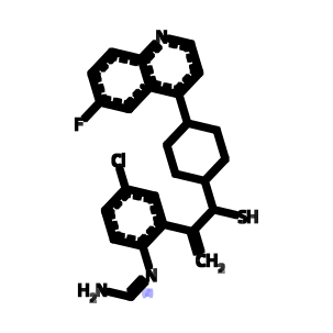 C=C(c1cc(Cl)ccc1/N=C\N)C(S)C1CCC(c2ccnc3ccc(F)cc23)CC1